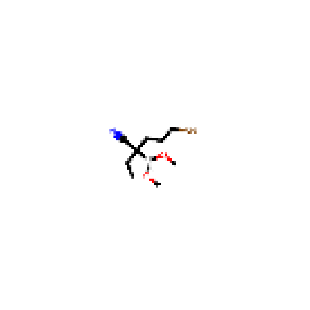 CCC(C#N)(CCCS)[SiH](OC)OC